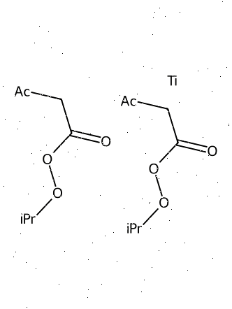 CC(=O)CC(=O)OOC(C)C.CC(=O)CC(=O)OOC(C)C.[Ti]